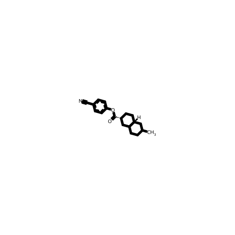 CC1CCC2C[C@H](C(=O)Oc3ccc(C#N)cc3)CC[C@@H]2C1